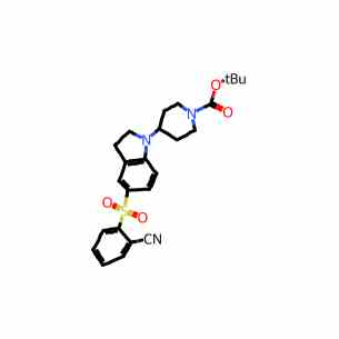 CC(C)(C)OC(=O)N1CCC(N2CCc3cc(S(=O)(=O)c4ccccc4C#N)ccc32)CC1